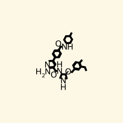 CCc1cc(CO[C@H]2CNC[C@@H]2NC(=O)c2cc(-c3ccc(C(=O)NC4CCC(C)CC4)cc3)cnc2N)ccc1C